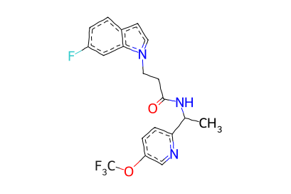 CC(NC(=O)CCn1ccc2ccc(F)cc21)c1ccc(OC(F)(F)F)cn1